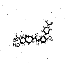 COc1ccc(NC(=O)C2CCc3cc(O)c([S+](C)[O-])cc3NC2)cc1C1CCN(C(C)C)CC1